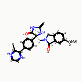 C=C1NC(=O)[C@](CN2Cc3ccc(OC)cc3C2=O)(c2ccc(-c3nccnc3C)cc2)N1